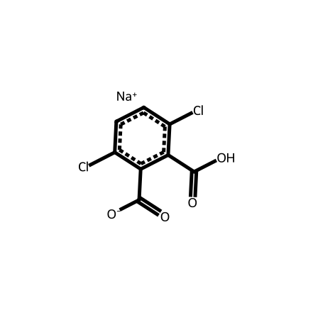 O=C([O-])c1c(Cl)ccc(Cl)c1C(=O)O.[Na+]